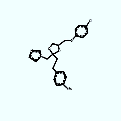 CC(C)(C)c1ccc(CCC2(Cn3ccnc3)OCC(CSc3ccc(Cl)cc3)O2)cc1